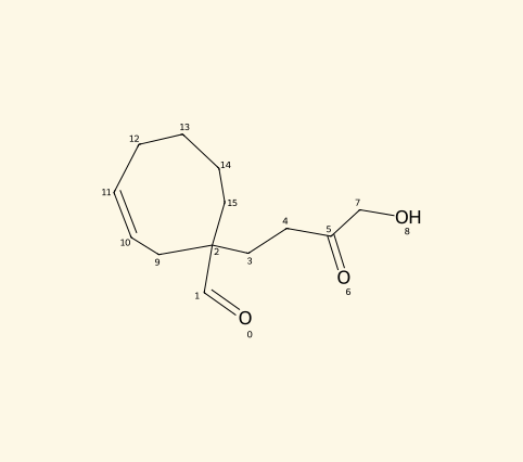 O=CC1(CCC(=O)CO)C/C=C\CCCC1